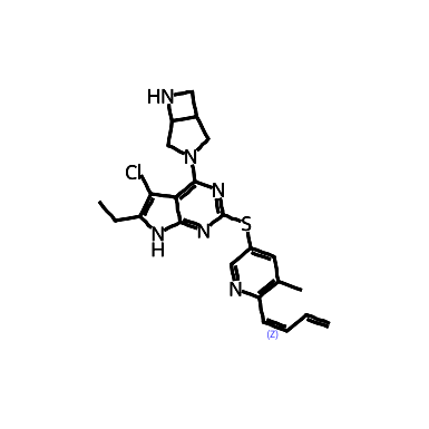 C=C/C=C\c1ncc(Sc2nc(N3CC4CNC4C3)c3c(Cl)c(CC)[nH]c3n2)cc1C